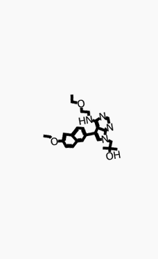 CCOCCNc1ncnc2c1c(-c1ccc3cc(OCC)ccc3c1)cn2CC(C)(C)O